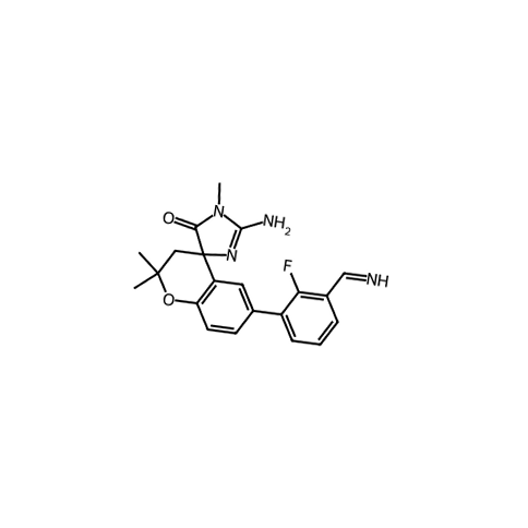 CN1C(=O)C2(CC(C)(C)Oc3ccc(-c4cccc(C=N)c4F)cc32)N=C1N